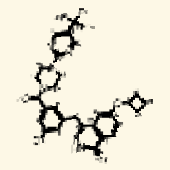 O=C(c1cc(Cl)cc(Cc2n[nH]c(=O)c3ccc(OC4CCC4)cc23)c1)N1CCN(c2ncc(C(F)(F)F)cn2)CC1